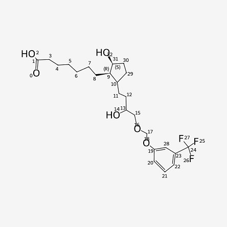 O=C(O)CCCCCC[C@@H]1C(CCC(O)COCOc2cccc(C(F)(F)F)c2)CC[C@@H]1O